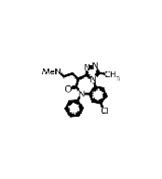 CNCCC1C(=O)N(c2ccccc2)c2cc(Cl)ccc2-n2c(C)nnc21